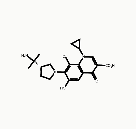 CC(C)(N)[C@H]1CCN(c2c(O)cc3c(=O)c(C(=O)O)cn(C4CC4)c3c2Cl)C1